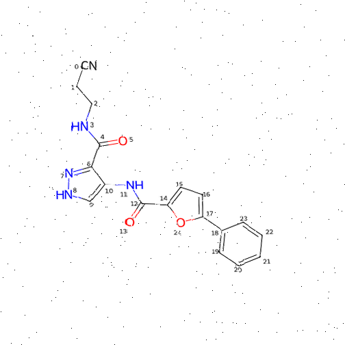 N#CCCNC(=O)c1n[nH]cc1NC(=O)c1ccc(-c2ccccc2)o1